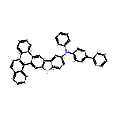 c1ccc(-c2ccc(N(c3ccccc3)c3ccc4oc5cc6c(cc5c4c3)c3ccccc3c3ccc4ccccc4c36)cc2)cc1